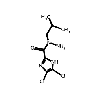 CC(C)CN(N)C(=O)c1nc(Cl)c(Cl)[nH]1